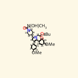 COc1ccc(-c2cc(C3CCN(C(=O)N(C)O)CC3)n(CC(=O)OC(C)(C)C)c2-c2ccc(OC)cc2)cc1